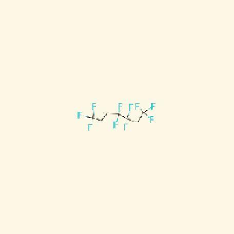 FC(F)(F)C[CH]C(F)(F)C(F)(F)CC(F)(F)F